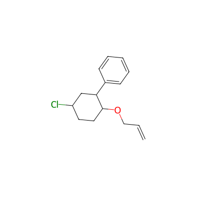 C=CCOC1CCC(Cl)CC1c1ccccc1